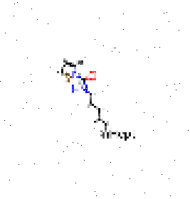 CCCCCCCCCCCCNC(=O)N1C=CCS1